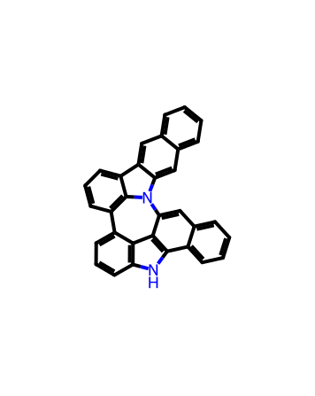 c1ccc2cc3c(cc2c1)c1cccc2c4cccc5[nH]c6c7ccccc7cc(c6c54)n3c21